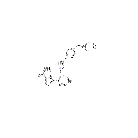 NC(=O)c1ccc(-c2ccncc2/C=C/Nc2ccc(CN3CCOCC3)cc2)s1